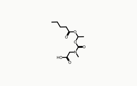 CCCCC(=O)OC(C)OC(=O)N(C)CC(=O)O